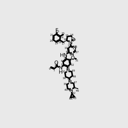 C=CC(=O)Nc1cc(Nc2cc(N3OCC[C@@H]3Cc3cccc(F)c3C)ncn2)c(OC)cc1N1CCC(N2CCN(C3CC3)[C@H](C)C2)CC1